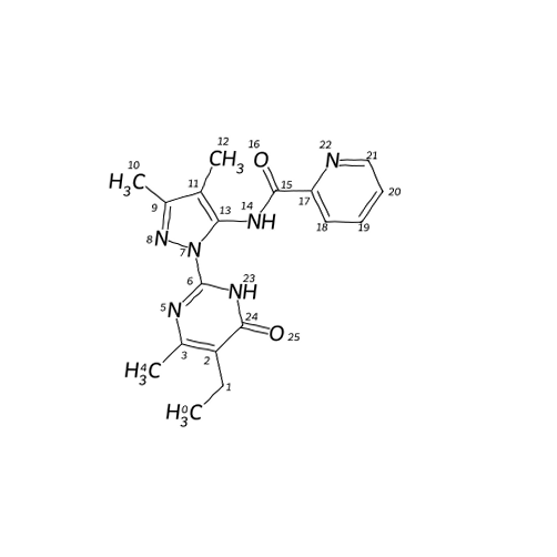 CCc1c(C)nc(-n2nc(C)c(C)c2NC(=O)c2ccccn2)[nH]c1=O